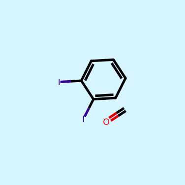 C=O.Ic1ccccc1I